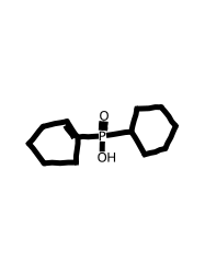 O=P(O)(C1=CCCCC1)C1CCCCC1